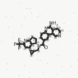 Nc1nc2ccc(C(=O)N(CC3CC3)[C@H]3CCc4nc(C(F)(F)F)ccc43)cc2c2cnccc12